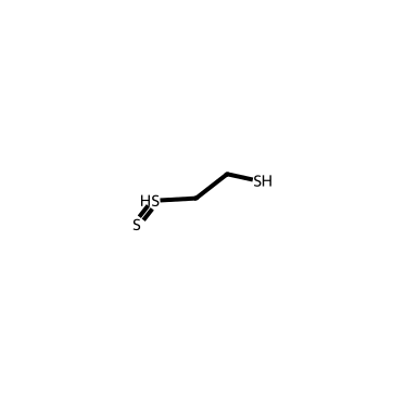 S=[SH]CCS